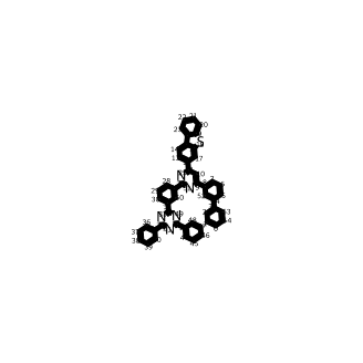 c1ccc(-c2cccc(-c3cc(-c4ccc5c(c4)sc4ccccc45)nc(-c4cccc(-c5nc(-c6ccccc6)nc(-c6ccccc6)n5)c4)n3)c2)cc1